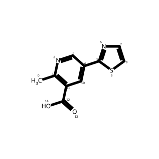 Cc1ncc(-c2nccs2)cc1C(=O)O